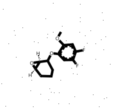 COc1cc(F)c(F)cc1OC1CCC[C@H]2O[C@@H]12